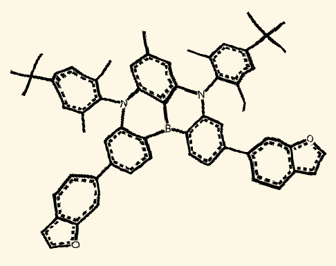 Cc1cc2c3c(c1)N(c1c(C)cc(C(C)(C)C)cc1C)c1cc(-c4ccc5ccoc5c4)ccc1B3c1ccc(-c3ccc4ccoc4c3)cc1N2c1c(C)cc(C(C)(C)C)cc1C